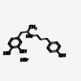 Br.CC(Cc1ccc(O)c(O)c1)NCCCc1ccc(O)cc1